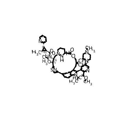 CCO[C@@H]1c2nc(cs2)-c2ccc3c(c2)c(c(-c2cc(N4CCN(C)CC4)cnc2[C@H](C)OC)n3CC)CC(C)(C)COC(=O)[C@@H]2CCCN(N2)C(=O)[C@H]1NC(=O)[C@H]1[C@H](C)[C@@H]1c1ccccn1